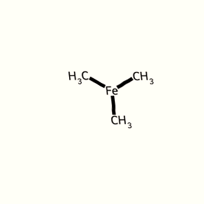 [CH3][Fe]([CH3])[CH3]